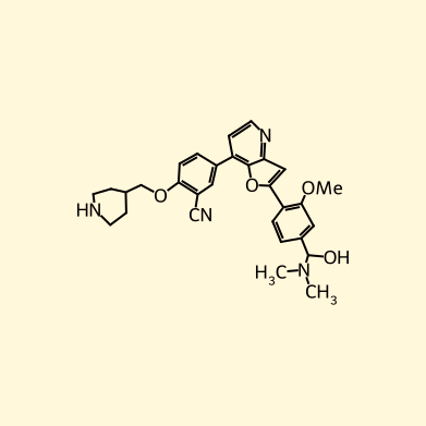 COc1cc(C(O)N(C)C)ccc1-c1cc2nccc(-c3ccc(OCC4CCNCC4)c(C#N)c3)c2o1